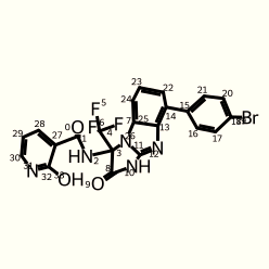 O=C(NC1(C(F)(F)F)C(=O)Nc2nc3c(-c4ccc(Br)cc4)cccc3n21)c1cccnc1O